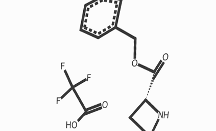 O=C(O)C(F)(F)F.O=C(OCc1ccccc1)[C@H]1CCN1